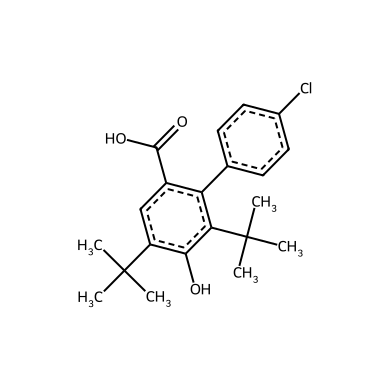 CC(C)(C)c1cc(C(=O)O)c(-c2ccc(Cl)cc2)c(C(C)(C)C)c1O